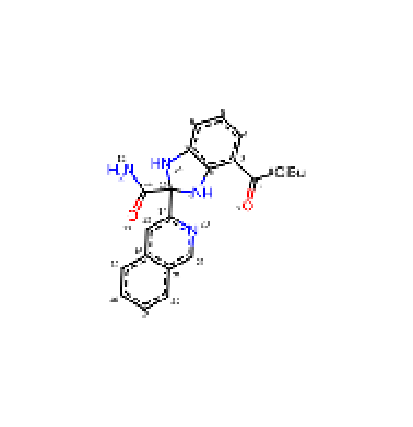 CC(C)COC(=O)c1cccc2c1NC(C(N)=O)(c1cc3ccccc3cn1)N2